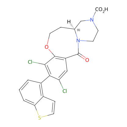 O=C(O)N1CCN2C(=O)c3cc(Cl)c(-c4cccc5sccc45)c(Cl)c3OCC[C@H]2C1